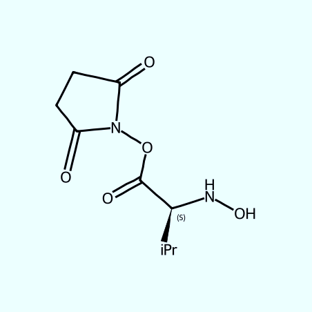 CC(C)[C@H](NO)C(=O)ON1C(=O)CCC1=O